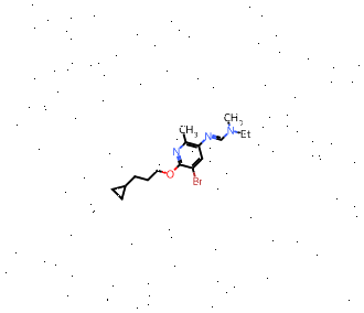 CCN(C)/C=N/c1cc(Br)c(OCCCC2CC2)nc1C